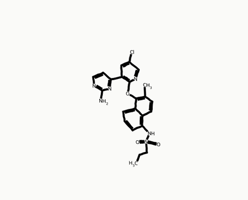 CCCS(=O)(=O)Nc1cccc2c(Oc3ncc(Cl)cc3-c3ccnc(N)n3)c(C)ccc12